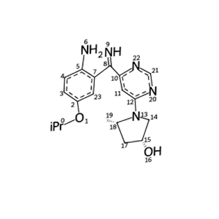 CC(C)Oc1ccc(N)c(C(=N)c2cc(N3C[C@H](O)C[C@@H]3C)ncn2)c1